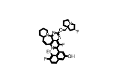 CCc1c(F)ccc2cc(O)cc(-c3nc4c5c(nc(OC[C@@]67CCCN6C[C@H](F)C7)nc5c3F)N3CCCCC3C=C4)c12